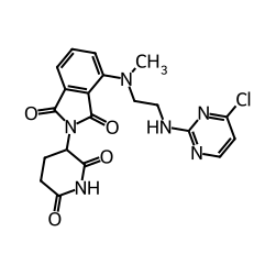 CN(CCNc1nccc(Cl)n1)c1cccc2c1C(=O)N(C1CCC(=O)NC1=O)C2=O